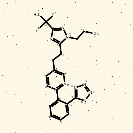 CCCn1nc(C(C)(F)F)nc1CCc1ccc(-c2ccccc2-c2nnn[nH]2)nc1